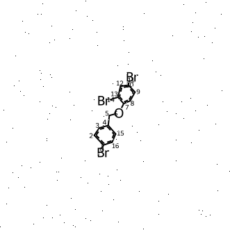 Brc1ccc(COc2ccc(Br)cc2Br)cc1